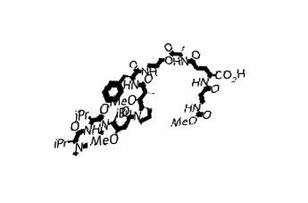 CC[C@H](C)[C@@H]([C@@H](CC(=O)N1CCC[C@H]1[C@H](OC)[C@@H](C)C(=O)N[C@@H](Cc1ccccc1)C(=O)NCCCOC(=O)[C@H](C)NC(=O)CC[C@H](NC(=O)CCNC(=O)OC)C(=O)O)OC)N(C)C(=O)[C@@H](NC(=O)[C@H](C(C)C)N(C)C)C(C)C